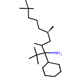 CC(C[C@H](C)CCCC(C)(C)C)C(N)(C1CCCCC1)C(C)(C)C